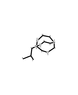 CC(C)C[Si]12COCN(CCO1)CCO2